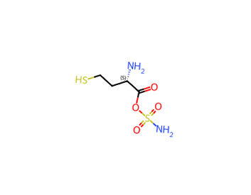 N[C@@H](CCS)C(=O)OS(N)(=O)=O